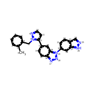 Cc1ccccc1Cn1nccc1-c1ccc2nnn(-c3ccc4cn[nH]c4c3)c2c1